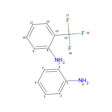 Nc1ccccc1.Nc1ccccc1C(F)(F)F